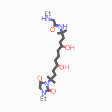 CCNCC(=O)NC(C)(C)CCC(O)CCCC(O)CCC(C)(C)N1C(=O)CN(CC)C1=O